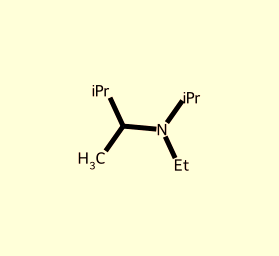 CCN(C(C)C)C(C)C(C)C